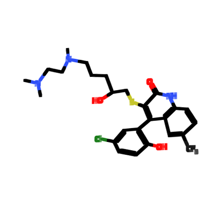 CN(C)CCN(C)CCCC(O)CSc1c(-c2cc(Cl)ccc2O)c2cc(C(F)(F)F)ccc2[nH]c1=O